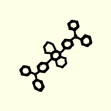 c1ccc(N(c2ccccc2)c2ccc(-c3c4c(c(-c5ccc(N(c6ccccc6)c6ccccc6)cc5)c5c3CCCC5)CCCC4)cc2)cc1